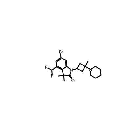 CC1(C)C(=O)N(C2CC(C)(N3CCCCC3)C2)c2cc(Br)cc(C(F)F)c21